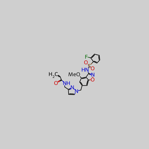 C=CC(=O)NCc1ccn(Cc2cc(OC)c3c(NS(=O)(=O)c4ccccc4F)noc3c2)n1